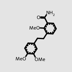 COc1ccc(CCc2cccc(C(N)=O)c2OC)cc1OC